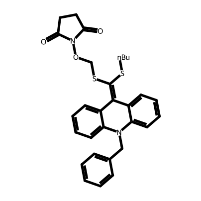 CCCCSC(SCON1C(=O)CCC1=O)=C1c2ccccc2N(Cc2ccccc2)c2ccccc21